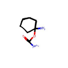 NC(=O)OC1(N)CCCCC1